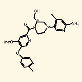 COc1cc(C(=O)N2CCN(c3cnc(N)cc3C)C[C@@H]2CO)ncc1Oc1ccc(C)cc1